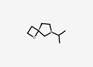 CC(C)N1CC[C@@]2(CCO2)C1